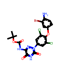 CC(C)(C)OC(=O)Nc1nn(-c2cc(Cl)c(Oc3ccc(N)c(Br)c3)c(Cl)c2)c(=O)[nH]c1=O